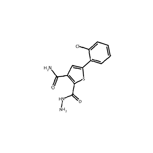 NNC(=O)c1sc(-c2ccccc2Cl)cc1C(N)=O